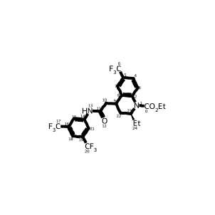 CCOC(=O)N1c2ccc(C(F)(F)F)cc2C(CC(=O)Nc2cc(C(F)(F)F)cc(C(F)(F)F)c2)C[C@@H]1CC